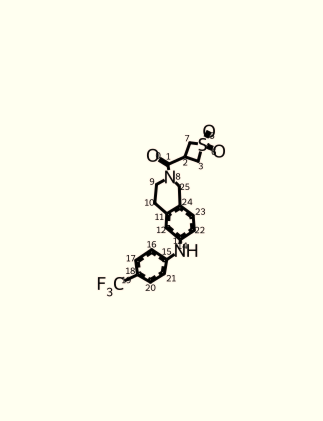 O=C(C1CS(=O)(=O)C1)N1CCc2cc(Nc3ccc(C(F)(F)F)cc3)ccc2C1